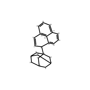 C1=CC(C23CC4CC(CC(C4)C2)C3)c2cccc3cccc1c23